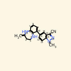 C=C1CCNc2c(cccc2-c2ccc3c(c2)c(C#N)nn3C)N1